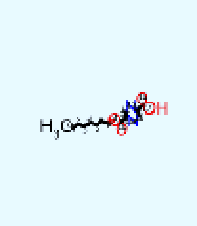 CCCCCCCCOC(=O)c1cnc(C(=O)O)cn1